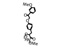 CCOC(Cc1ccc(OCC(=O)c2cccc(OC)c2)cc1)C(=O)NOC